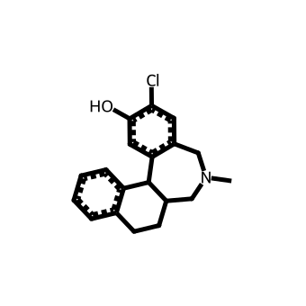 CN1Cc2cc(Cl)c(O)cc2C2c3ccccc3CCC2C1